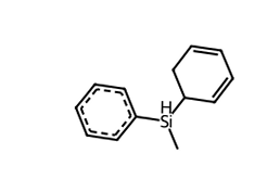 C[SiH](c1ccccc1)C1C=CC=CC1